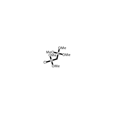 CO[Si](Cl)(C[Si](OC)(OC)OC)OC